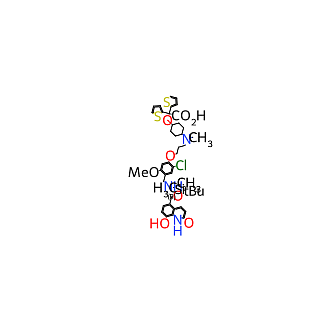 COc1cc(OCCCN(C)[C@H]2CC[C@H](OC(C(=O)O)(c3cccs3)c3cccs3)CC2)c(Cl)cc1CNC[C@H](O[Si](C)(C)C(C)(C)C)c1ccc(O)c2[nH]c(=O)ccc12